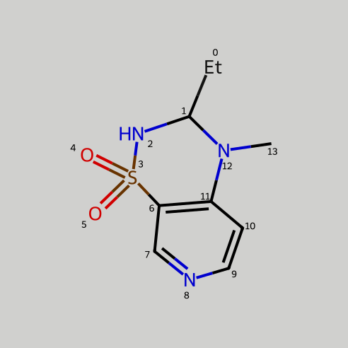 CCC1NS(=O)(=O)c2cnccc2N1C